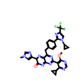 COc1ncnc(C2CC2)c1-c1nc(Cc2ccc(-c3nc(C(F)(F)F)cn3C3CC3)cc2)c2c(n1)=NC(=O)C(c1cn(C)cn1)N=2